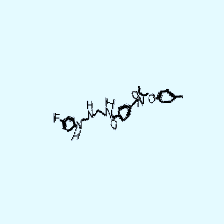 Cc1ccc(OCc2nc(-c3ccc(C(=O)NCCCNCCNc4ccc(F)cc4)cc3)oc2C)cc1